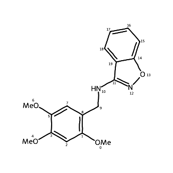 COc1cc(OC)c(OC)cc1CNc1noc2ccccc12